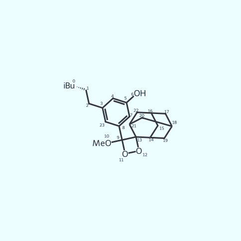 CC[C@@H](C)CCc1cc(O)cc(C2(OC)OOC23C2CC4CC(C2)CC3C4)c1